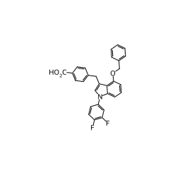 O=C(O)c1ccc(Cc2cn(-c3ccc(F)c(F)c3)c3cccc(OCc4ccccc4)c23)cc1